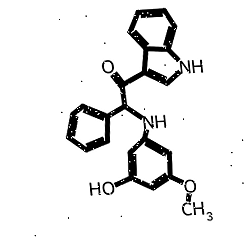 COc1cc(O)cc(NC(C(=O)c2c[nH]c3ccccc23)c2ccccc2)c1